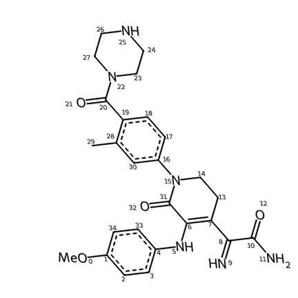 COc1ccc(NC2=C(C(=N)C(N)=O)CCN(c3ccc(C(=O)N4CCNCC4)c(C)c3)C2=O)cc1